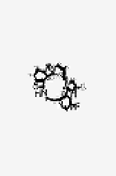 O=C1NCCc2ncc(F)cc2[C@H]2C[C@H](F)CN2c2ccn3nc4cccc1c4c3n2